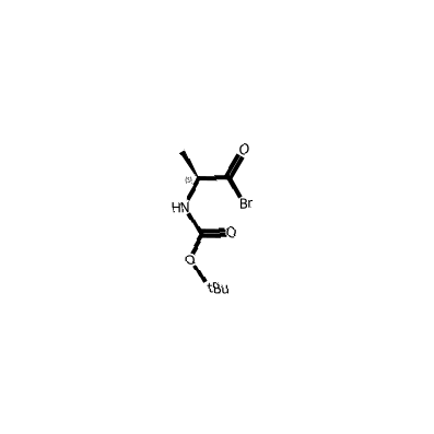 C[C@H](NC(=O)OC(C)(C)C)C(=O)Br